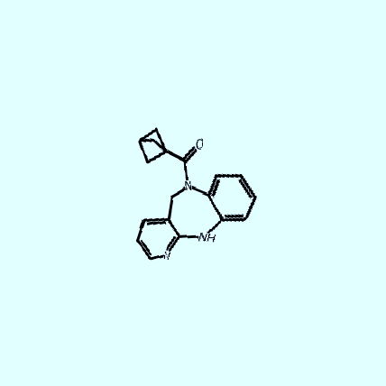 O=C(N1Cc2cccnc2Nc2ccccc21)C12CC(C1)C2